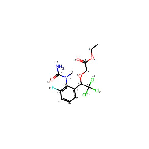 CCOC(=O)COC(c1cccc(F)c1N(C)C(N)=O)C(Cl)(Cl)Cl